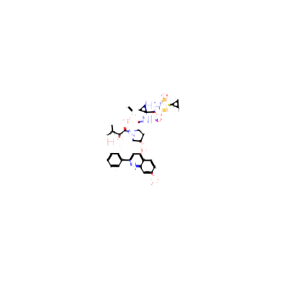 C=C[C@@H]1C[C@]1(NC(=O)[C@@H]1C[C@@H](Oc2cc(-c3ccccc3)nc3cc(OC)ccc23)CN1C(=O)[C@@H](O)C(C)C)C(=O)NS(=O)(=O)C1CC1